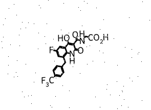 O=C(O)CNC(=O)c1c(O)c2cc(F)cc(Cc3ccc(C(F)(F)F)cc3)c2[nH]c1=O